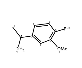 COc1cc(C(C)N)ccc1F